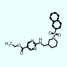 CCOC(=O)c1cnc(NCC2CCCN(S(=O)(=O)c3ccc4ccccc4c3)C2)nc1